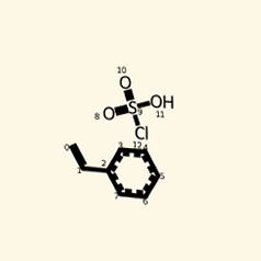 C=Cc1ccccc1.O=S(=O)(O)Cl